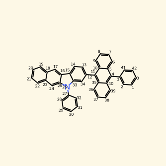 c1ccc(-c2c3ccccc3c(-c3ccc4c5cc6ccccc6cc5n(-c5ccccc5)c4c3)c3ccccc23)cc1